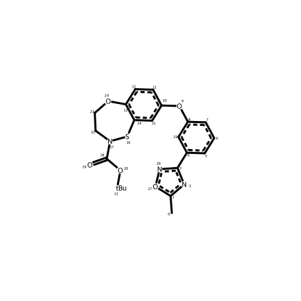 Cc1nc(-c2cccc(Oc3ccc4c(c3)SN(C(=O)OC(C)(C)C)CCO4)c2)no1